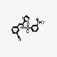 N#Cc1cccc(CC(NS(=O)(=O)c2cccc([N+](=O)[O-])c2)c2nccs2)c1